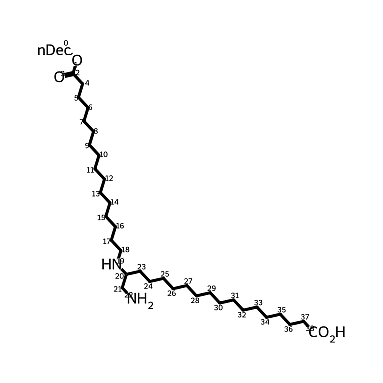 CCCCCCCCCCOC(=O)CCCCCCCCCCCCCCCNC(CN)CCCCCCCCCCCCCCCC(=O)O